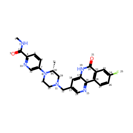 CNC(=O)c1ccc(N2CCN(Cc3cnc4c(c3)[nH]c(=O)c3cc(F)ccc34)C[C@H]2C)cn1